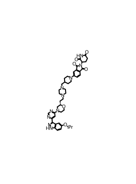 CC(C)Oc1ccc2[nH]nc(-c3cc(N4CCO[C@H](CCN5CCN(CC6CCN(c7ccc8c(c7)C(=O)N(C7CCC(=O)NC7=O)C8=O)CC6)CC5)C4)ncn3)c2c1